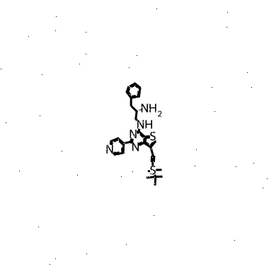 CC(C)(C)S(C)(C)C#Cc1csc2c(NC[C@@H](N)Cc3ccccc3)nc(-c3ccncc3)nc12